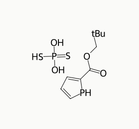 CC(C)(C)COC(=O)c1ccc[pH]1.OP(O)(=S)S